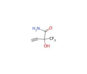 C#CC(O)(C(N)=O)C(F)(F)F